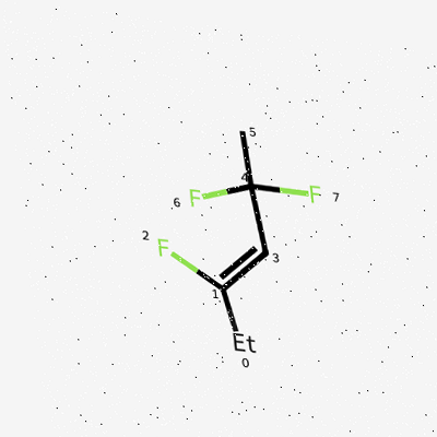 CCC(F)=CC(C)(F)F